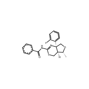 C[C@H]1OC[C@]2(C3=C=C=CC=C3F)N=C(NC(=O)c3ccccc3)SC[C@H]12